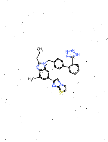 CCCc1nc2c(C)cc(-c3cn4ccsc4n3)cc2n1Cc1ccc(-c2ccccc2-c2nnn[nH]2)cc1